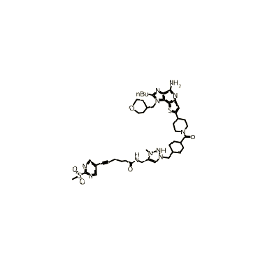 CCCCc1nc2c(N)nc3cc(C4CCN(C(=O)C5CCC(CN6C=C(CNC(=O)CCCC#Cc7cnc(S(C)(=O)=O)nc7)N(C)N6)CC5)CC4)sc3c2n1CC1CCOCC1